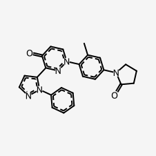 Cc1cc(N2CCCC2=O)ccc1-n1ccc(=O)c(-c2ccnn2-c2ccccc2)n1